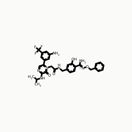 CC(C)Nc1ncc(-c2cc(N)cc(C(F)(F)F)c2)n(CC(=O)NCc2ccc(/C(N)=N/OCc3ccccc3)c(O)c2)c1=O